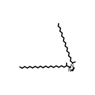 CCCCCCCCCCCCCCCCCCC(C)c1nccn1C(C)CCCCCCCCCCCCCCCC